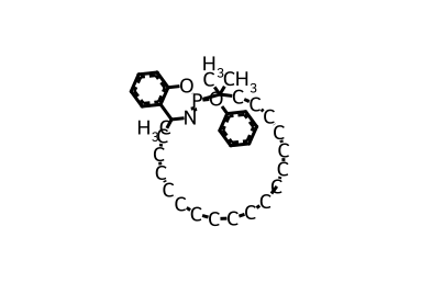 CC12CCCCCCCCCCCCCCCCCC(C)(C)P(Oc3ccccc3)(=N1)Oc1ccccc12